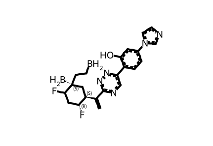 BCC[C@@]1(B)C[C@@H](C(=C)c2ncc(-c3ccc(-n4ccnc4)cc3O)nn2)[C@H](F)CC1F